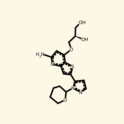 Nc1cc(OC[C@H](O)CO)c2sc(-c3ccnn3C3CCCCO3)cc2n1